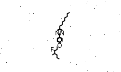 CCCCCCCCc1cnc(-c2ccc(OCCC(F)C(C)CCC)cc2)nc1